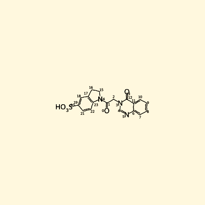 O=C(Cn1cnc2ccccc2c1=O)N1CCc2cc(S(=O)(=O)O)ccc21